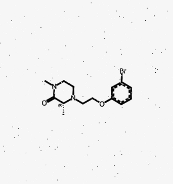 C[C@@H]1C(=O)N(C)CCN1CCOc1cccc(Br)c1